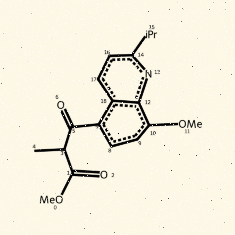 COC(=O)C(C)C(=O)c1ccc(OC)c2nc(C(C)C)ccc12